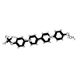 COc1ccc(-[n+]2ccc(-c3cc[n+](-c4ccc(OC(F)(F)F)cc4)cc3)cc2)cc1